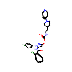 O=C(NCCC1CCN(c2ccncc2)CC1)Oc1cc(NC(=O)c2ccccc2Cl)n(-c2ccc(F)cc2)n1